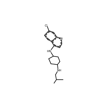 CC(C)CNC1CCC(Nc2ccnc3cc(Cl)ccc23)CC1